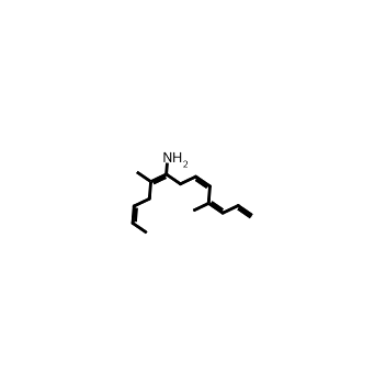 C=C/C=C(C)\C=C/C/C(N)=C(/C)C/C=C\C